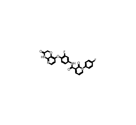 O=C1COc2c(Oc3ccc(NC(=O)c4cccn(-c5ccc(F)cc5)c4=O)cc3F)ccnc2N1